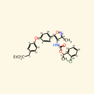 CCOC(=O)Cc1ccc(Oc2ccc(-c3onc(C)c3NC(=O)O[C@H](C)c3ccccc3Cl)cc2)cc1